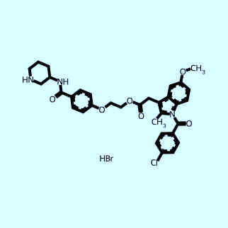 Br.COc1ccc2c(c1)c(CC(=O)OCCOc1ccc(C(=O)NC3CCCNC3)cc1)c(C)n2C(=O)c1ccc(Cl)cc1